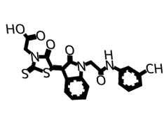 Cc1cccc(NC(=O)CN2C(=O)/C(=C3/SC(=S)N(CC(=O)O)C3=O)c3ccccc32)c1